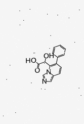 O=C(O)C(O)c1c(-c2ccccc2)ccc2cncn12